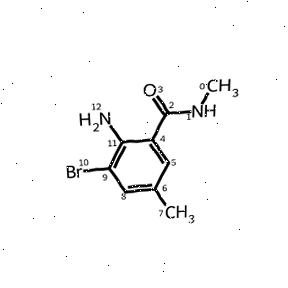 CNC(=O)c1cc(C)cc(Br)c1N